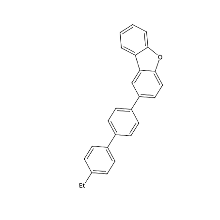 CCc1ccc(-c2ccc(-c3ccc4oc5ccccc5c4c3)cc2)cc1